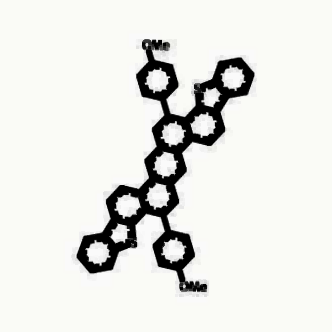 COc1ccc(-c2cc3cc4c(cc(-c5ccc(OC)cc5)c5c4ccc4c6ccccc6sc45)cc3c3ccc4c5ccccc5sc4c23)cc1